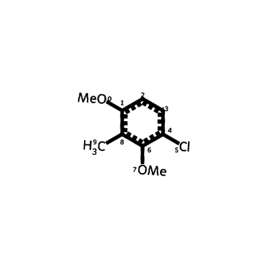 COc1c[c]c(Cl)c(OC)c1C